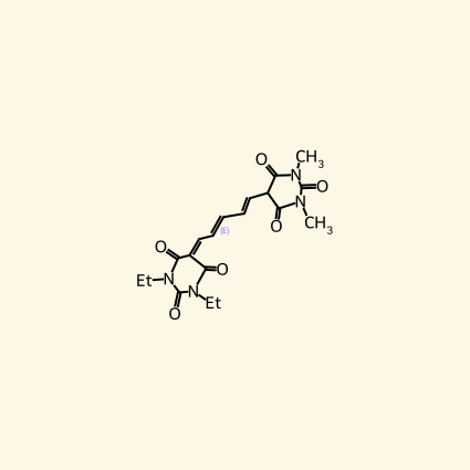 CCN1C(=O)C(=C/C=C/C=CC2C(=O)N(C)C(=O)N(C)C2=O)C(=O)N(CC)C1=O